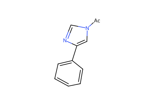 CC(=O)n1cnc(-c2ccccc2)c1